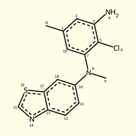 Cc1cc(N)c(Cl)c(N(C)c2ccc3ncsc3c2)c1